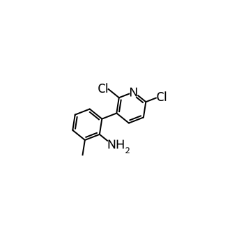 Cc1cccc(-c2ccc(Cl)nc2Cl)c1N